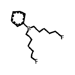 FCCCCCB(CCCCCF)c1ccccc1